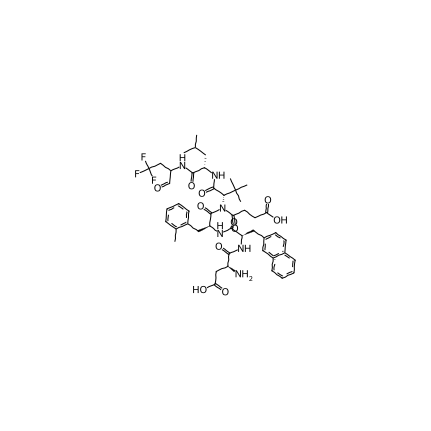 Cc1ccccc1C[C@H](NC(=O)[C@@H](Cc1ccc2ccccc2c1)NC(=O)[C@@H](N)CC(=O)O)C(=O)N(C(=O)CCC(=O)O)[C@H](C(=O)N[C@@H](CC(C)C)C(=O)NC(C=O)CC(F)(F)F)C(C)(C)C